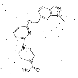 Cn1ncc2ccc(COc3cccc(N4CCN(C(=O)O)CC4)n3)cc21